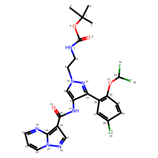 CC(C)(C)OC(=O)NCCn1cc(NC(=O)c2cnn3cccnc23)c(-c2cc(Cl)ccc2OC(F)F)n1